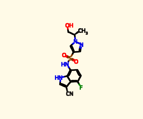 C[C@H](CO)n1cc(S(=O)(=O)Nc2ccc(F)c3c(C#N)c[nH]c23)cn1